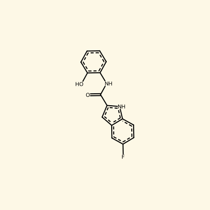 O=C(Nc1ccccc1O)c1cc2cc(F)ccc2[nH]1